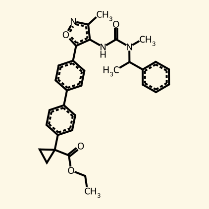 CCOC(=O)C1(c2ccc(-c3ccc(-c4onc(C)c4NC(=O)N(C)C(C)c4ccccc4)cc3)cc2)CC1